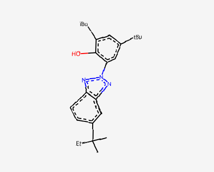 CCC(C)c1cc(C(C)(C)C)cc(-n2nc3ccc(C(C)(C)CC)cc3n2)c1O